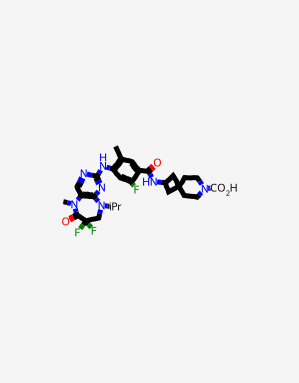 Cc1cc(C(=O)NC2CC3(CCN(C(=O)O)CC3)C2)c(F)cc1Nc1ncc2c(n1)N(C(C)C)CC(F)(F)C(=O)N2C